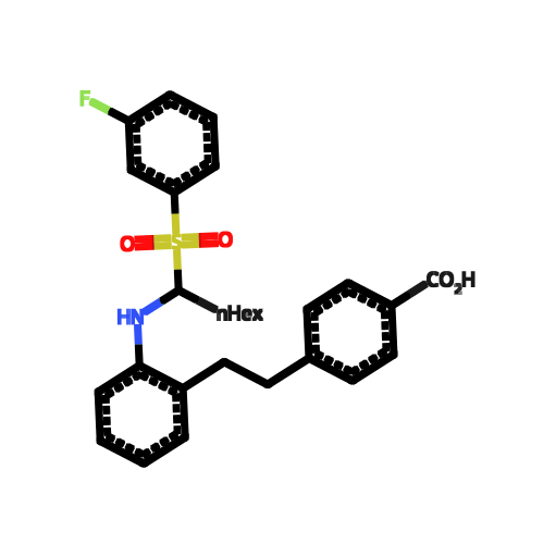 CCCCCCC(Nc1ccccc1CCc1ccc(C(=O)O)cc1)S(=O)(=O)c1cccc(F)c1